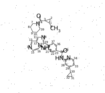 CC1CC1C(=O)N1CCC[C@@H](C2=C3C=NC=C[N+]3(N)C(c3ccc(C(=O)Nc4cc(C5CC5)ccn4)cc3)=N2)C1